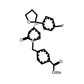 COC(=O)c1ccc(Cn2ccc([C@@]3(c4ccc(F)cc4)CCCO3)cc2=O)cc1